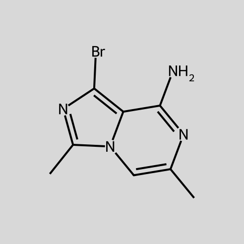 Cc1cn2c(C)nc(Br)c2c(N)n1